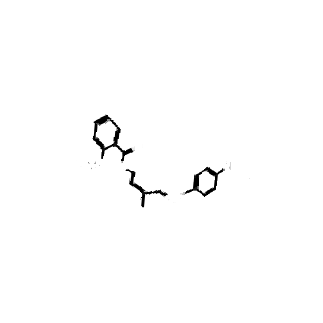 COc1ccccc1C(=O)OCC=C(C)COc1ccc([N+](=O)[O-])cc1